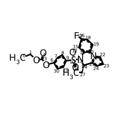 CCOC(=O)Oc1ccc(S(=O)(=O)N2c3cc(F)ccc3-n3cccc3[C@H]2CC)cc1